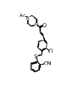 CC(=O)N1CCN(C(=O)C=Cc2ccc(CSc3ccccc3C#N)c(Cl)c2)CC1